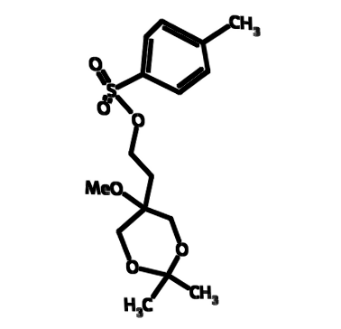 COC1(CCOS(=O)(=O)c2ccc(C)cc2)COC(C)(C)OC1